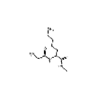 CNC(=O)[C@H](CCCCN)NC(=O)CN